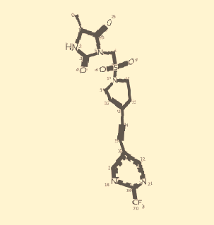 C[C@@H]1NC(=O)N(CS(=O)(=O)N2CC=C(C#Cc3cnc(C(F)(F)F)nc3)CC2)C1=O